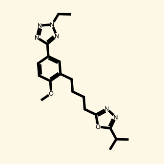 CCn1nnc(-c2ccc(OC)c(CCCCc3nnc(C(C)C)o3)c2)n1